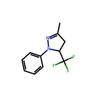 CC1=NN(c2ccccc2)C(C(F)(F)F)C1